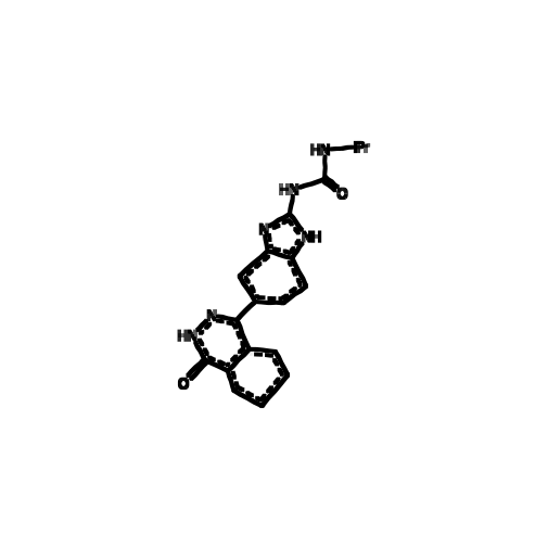 CC(C)NC(=O)Nc1nc2cc(-c3n[nH]c(=O)c4ccccc34)ccc2[nH]1